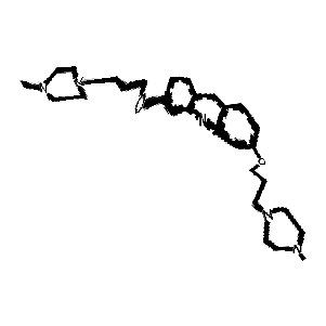 CN1CCN(CCCOc2ccc3cc4ccc(OCCCN5CCN(C)CC5)cc4nc3c2)CC1